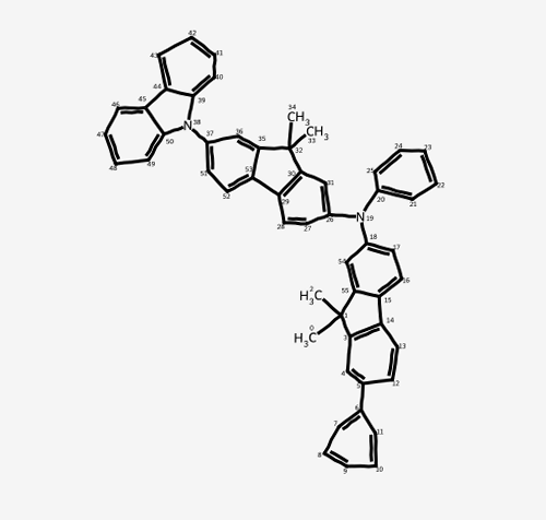 CC1(C)c2cc(-c3ccccc3)ccc2-c2ccc(N(c3ccccc3)c3ccc4c(c3)C(C)(C)c3cc(-n5c6ccccc6c6ccccc65)ccc3-4)cc21